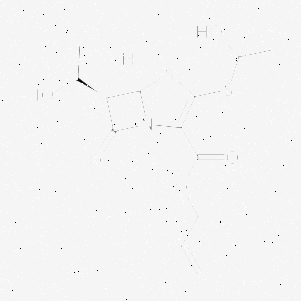 C=CCOC(=O)C1=C(SC(C)O)S[C@@H]2[C@H](C(C)O)C(=O)N12